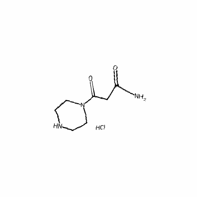 Cl.NC(=O)CC(=O)N1CCNCC1